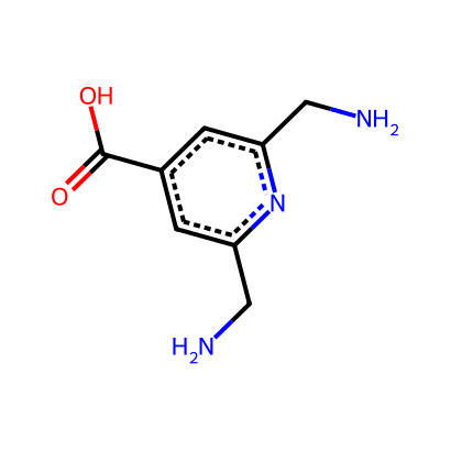 NCc1cc(C(=O)O)cc(CN)n1